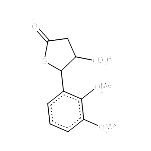 COc1cccc(C2OC(=O)CC2C(=O)O)c1OC